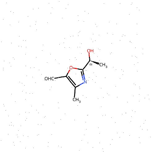 Cc1nc([C@H](C)O)oc1C=O